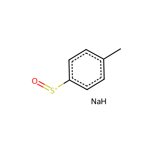 Cc1ccc([S+]=O)cc1.[NaH]